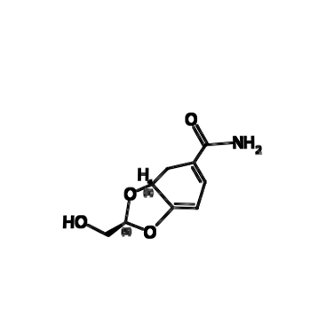 NC(=O)C1=CC=C2O[C@@H](CO)O[C@@H]2C1